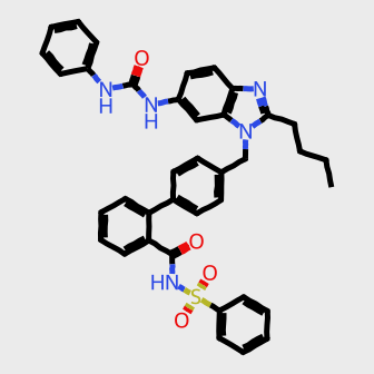 CCCCc1nc2ccc(NC(=O)Nc3ccccc3)cc2n1Cc1ccc(-c2ccccc2C(=O)NS(=O)(=O)c2ccccc2)cc1